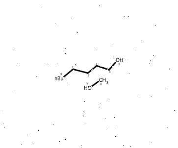 CCCCCCCCO.CO